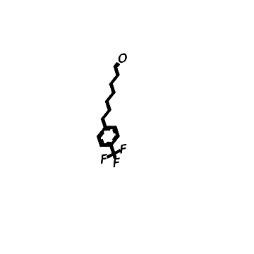 O=CCCCCCCc1ccc(C(F)(F)F)cc1